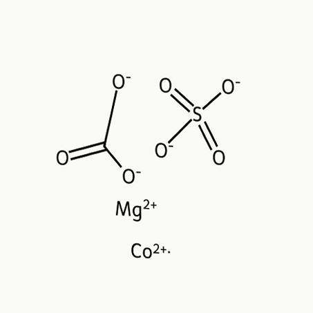 O=C([O-])[O-].O=S(=O)([O-])[O-].[Co+2].[Mg+2]